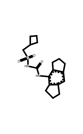 O=C(Nc1c2c(cc3c1CCC3)CCC2)NS(=O)(=O)CC1CCC1